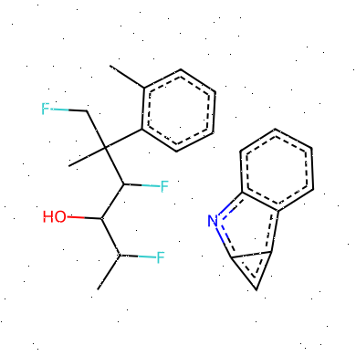 Cc1ccccc1C(C)(CF)C(F)C(O)C(C)F.c1ccc2c3cc-3nc2c1